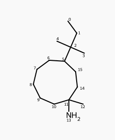 CCC(C)(C)C1CCCCCC(C)(N)CC1